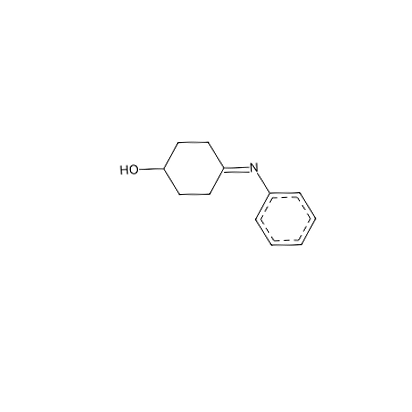 OC1CCC(=Nc2ccccc2)CC1